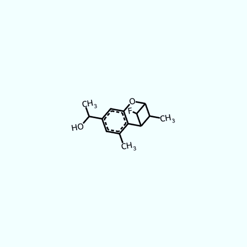 Cc1cc(C(C)O)cc2c1C1C(C)C(O2)C1F